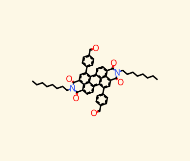 CCCCCCCCN1C(=O)c2ccc3c4c(-c5ccc(C=O)cc5)cc5c6c(ccc(c7c(-c8ccc(C=O)cc8)cc(c2c37)C1=O)c64)C(=O)N(CCCCCCCC)C5=O